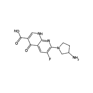 NC1CCN(c2nc3[nH]cc(C(=O)O)c(=O)c3cc2F)C1